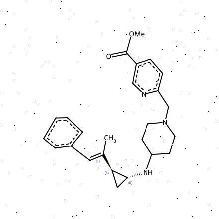 COC(=O)c1ccc(CN2CCC(N[C@@H]3C[C@H]3/C(C)=C/c3ccccc3)CC2)nc1